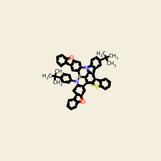 CC(C)(C)c1ccc(N2B3c4cc5c(cc4-n4c6ccc(C(C)(C)C)cc6c6c7c(sc8ccccc87)c(c3c64)-c3cc4oc6ccccc6c4cc32)oc2ccccc25)cc1